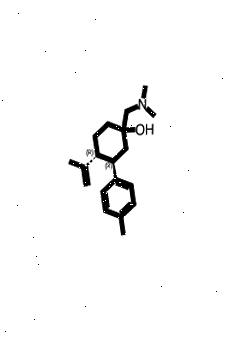 C=C(C)[C@@H]1CCC(O)(CN(C)C)C[C@H]1c1ccc(C)cc1